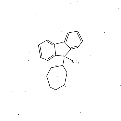 C[P]1(C2CCCCCC2)c2ccccc2-c2ccccc21